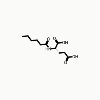 CCCCCC(=O)N[C@@H](CCC(=O)O)C(=O)O